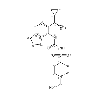 CCN1CCC(S(=O)(=O)NC(=O)Nc2c([C@H](C)C3CC3)ccc3c2CCC3)CC1